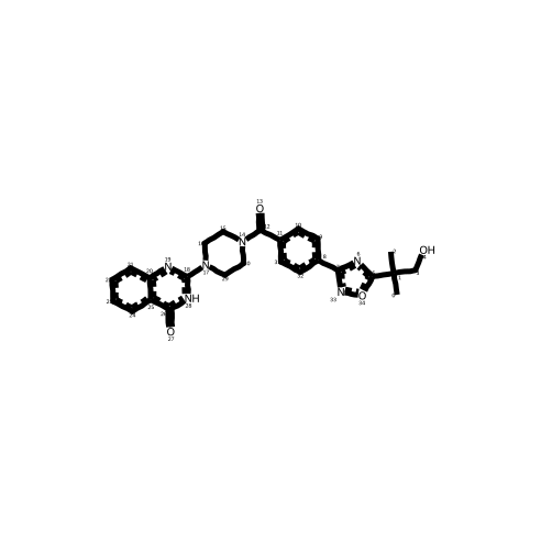 CC(C)(CO)c1nc(-c2ccc(C(=O)N3CCN(c4nc5ccccc5c(=O)[nH]4)CC3)cc2)no1